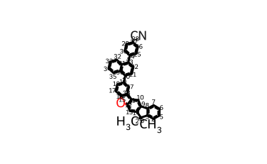 CC1(C)c2ccccc2-c2cc3c(cc21)oc1ccc(-c2ccc(-c4ccc(C#N)cc4)c4ccccc24)cc13